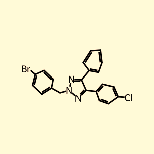 Clc1ccc(-c2nn(Cc3ccc(Br)cc3)nc2-c2ccccc2)cc1